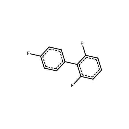 Fc1ccc(-c2c(F)[c]ccc2F)cc1